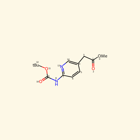 COC(=O)Cc1ccc(NC(=O)OC(C)(C)C)nc1